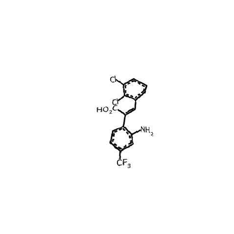 Nc1cc(C(F)(F)F)ccc1C(=Cc1cccc(Cl)c1Cl)C(=O)O